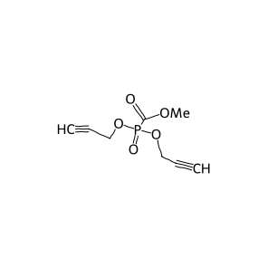 C#CCOP(=O)(OCC#C)C(=O)OC